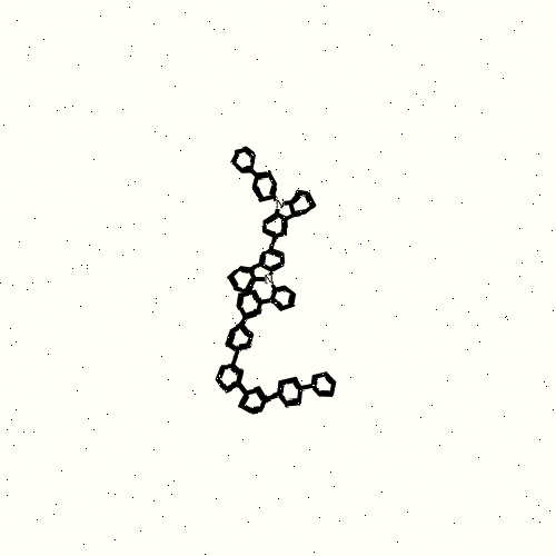 c1ccc(-c2ccc(-c3cccc(-c4cccc(-c5ccc(-c6cccc(-c7ccccc7-n7c8ccccc8c8cc(-c9ccc%10c(c9)c9ccccc9n%10-c9ccc(-c%10ccccc%10)cc9)ccc87)c6)cc5)c4)c3)cc2)cc1